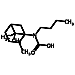 CCCCN(C(=O)O)C12CC(CCC1C)C2(C)C